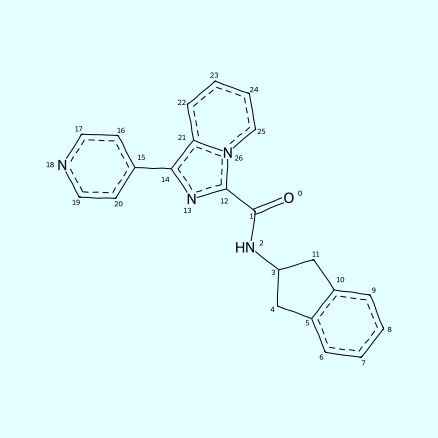 O=C(NC1Cc2ccccc2C1)c1nc(-c2ccncc2)c2ccccn12